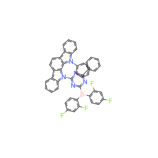 Fc1ccc(B(c2nc(-c3ccccc3)nc(-n3c4ccccc4c4ccc5c6ccccc6n(-c6ccccc6)c5c43)n2)c2ccc(F)cc2F)c(F)c1